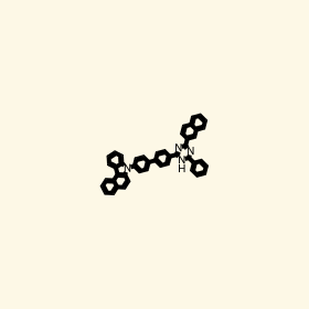 c1ccc(C2N=C(c3ccc4ccccc4c3)N=C(c3ccc(-c4ccc(-n5c6ccccc6c6c7ccccc7ccc65)cc4)cc3)N2)cc1